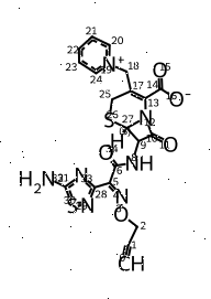 C#CCON=C(C(=O)NC1C(=O)N2C(C(=O)[O-])=C(C[n+]3ccccc3)CS[C@@H]12)c1nsc(N)n1